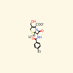 CCc1ccc(C(=O)N[C@H]2C(=O)N3C(C(=O)[O-])=C(CO)CS[C@@H]23)cc1.[Li+]